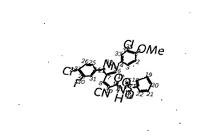 COc1ccc(-n2cc(C=C(C#N)C(=O)NS(=O)(=O)c3ccccc3)c(-c3ccc(Cl)c(F)c3)n2)cc1Cl